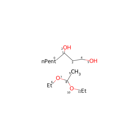 CCCCCC(O)CCO.CCOC(C)OCC